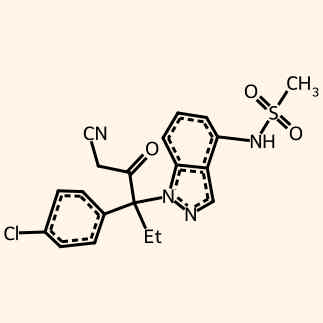 CCC(C(=O)CC#N)(c1ccc(Cl)cc1)n1ncc2c(NS(C)(=O)=O)cccc21